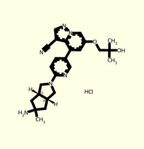 CC(C)(O)COc1cc(-c2ccc(N3C[C@@H]4CC(C)(N)C[C@@H]4C3)nc2)c2c(C#N)cnn2c1.Cl